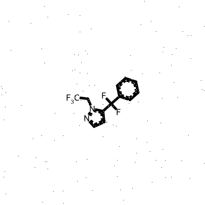 FC(F)(F)Cn1nc[c]c1C(F)(F)c1ccccc1